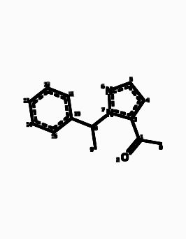 CC(=O)c1ccnn1C(C)c1ccccc1